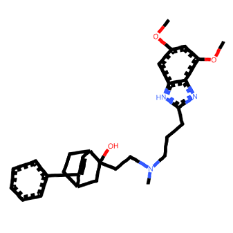 COc1cc(OC)c2nc(CCCN(C)CCC3(O)CC4CCC3C=C4c3ccccc3)[nH]c2c1